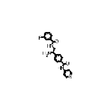 NC(CNC(=O)c1cccc(F)c1)c1ccc(C(=O)Nc2ccncc2)cc1